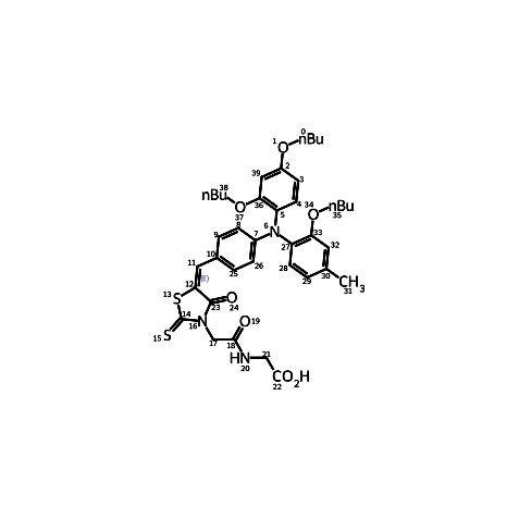 CCCCOc1ccc(N(c2ccc(/C=C3/SC(=S)N(CC(=O)NCC(=O)O)C3=O)cc2)c2ccc(C)cc2OCCCC)c(OCCCC)c1